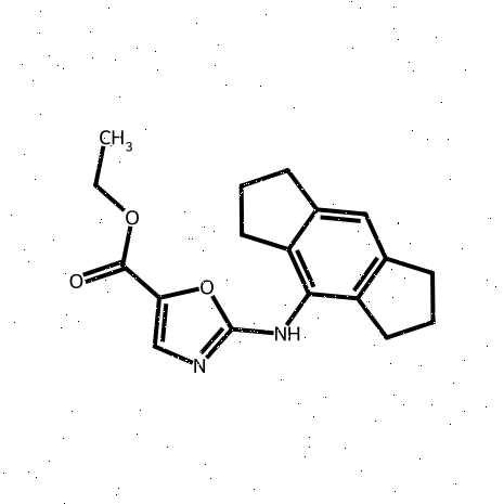 CCOC(=O)c1cnc(Nc2c3c(cc4c2CCC4)CCC3)o1